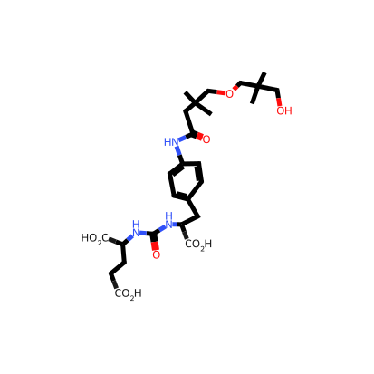 CC(C)(CO)COCC(C)(C)CC(=O)Nc1ccc(CC(NC(=O)NC(CCC(=O)O)C(=O)O)C(=O)O)cc1